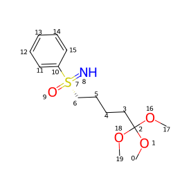 COC(CCCC[S@](=N)(=O)c1ccccc1)(OC)OC